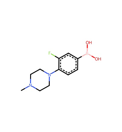 CN1CCN(c2ccc(B(O)O)cc2F)CC1